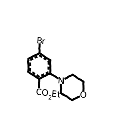 CCOC(=O)c1ccc(Br)cc1N1CCOCC1